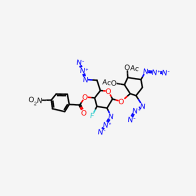 CC(=O)OC1C(N=[N+]=[N-])CC(N=[N+]=[N-])C(OC2OC(CN=[N+]=[N-])C(OC(=O)c3ccc([N+](=O)[O-])cc3)C(F)C2N=[N+]=[N-])C1OC(C)=O